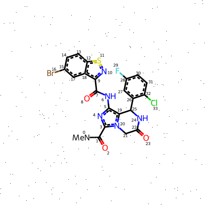 CNC(=O)c1nc(NC(=O)c2nsc3ccc(Br)cc23)c2n1CC(=O)NC2c1cc(F)ccc1Cl